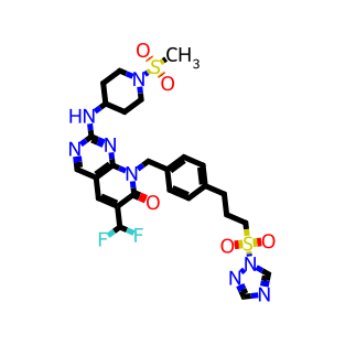 CS(=O)(=O)N1CCC(Nc2ncc3cc(C(F)F)c(=O)n(Cc4ccc(CCCS(=O)(=O)n5cncn5)cc4)c3n2)CC1